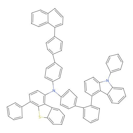 c1ccc(-c2ccc(N(c3ccc(-c4ccc(-c5cccc6ccccc56)cc4)cc3)c3ccc(-c4ccccc4-c4cccc5c4c4ccccc4n5-c4ccccc4)cc3)c3c2sc2ccccc23)cc1